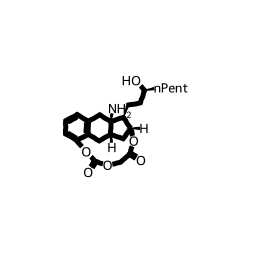 CCCCC[C@H](O)CC[C@H]1[C@H]2C[C@@H]3Cc4c(cccc4OC(=O)OCC(=O)O2)C[C@@]31N